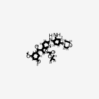 COc1cc(OC)cc(C(=O)c2cn(C(=O)OC(C)(C)C)c3nc(Nc4ccc(N5CCOCC5)cc4N)ccc23)c1